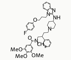 COc1cc(C(=O)N(C)CC(CCN2CCC(Nc3nc4ccccc4n3CCCOc3ccc(F)cc3)CC2)c2ccccc2)cc(OC)c1OC